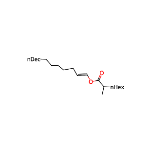 CCCCCCCCCCCCCCCC=COC(=O)C(C)CCCCCC